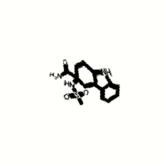 CS(=O)(=O)NC1(C(N)=O)C=C2c3ccccc3NC2CC1